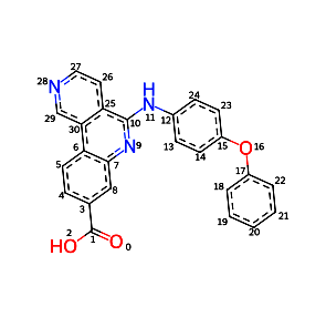 O=C(O)c1ccc2c(c1)nc(Nc1ccc(Oc3ccccc3)cc1)c1ccncc12